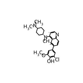 COc1cc(-c2ccc3nc[c]c(N(C)[C@H]4CC[C@H](N(C)C)CC4)c3c2)cc(Cl)c1O